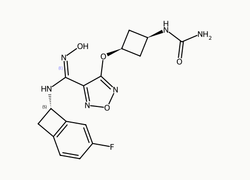 NC(=O)N[C@H]1C[C@@H](Oc2nonc2/C(=N\O)N[C@H]2Cc3ccc(F)cc32)C1